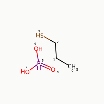 CCCS.O=[PH](O)O